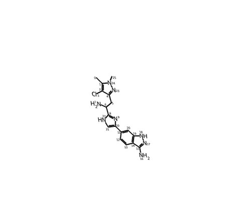 Cc1c(Cl)c(CC(N)c2nc(-c3ccc4c(N)n[nH]c4c3)c[nH]2)nn1C